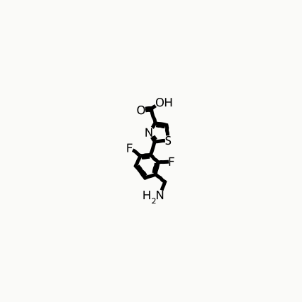 NCc1ccc(F)c(-c2nc(C(=O)O)cs2)c1F